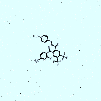 Cc1ccc(Cn2nc(-c3ccc(C)nc3F)c3cc(C(F)(F)F)c(C(F)(F)F)cc3c2=O)cc1